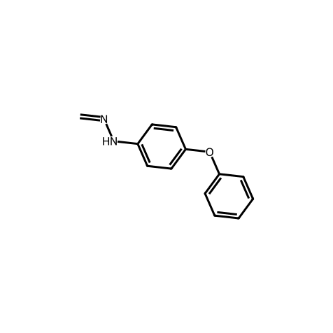 C=NNc1ccc(Oc2ccccc2)cc1